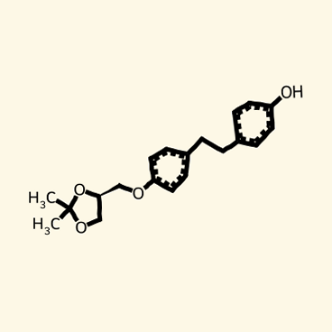 CC1(C)OC[C@H](COc2ccc(CCc3ccc(O)cc3)cc2)O1